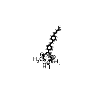 C=C(CO)C(=O)OCC(COC(=O)C(=C)CO)C1CCC(CCC2CCC(CCCCF)CC2)CC1